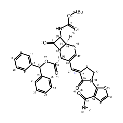 CC(C)(C)OC(=O)N[C@@H]1C(=O)N2[C@@H](C(=O)OC(c3ccccc3)c3ccccc3)C(/C=C3\CCN(c4sccc4C(N)=O)C3=O)=CS[C@H]12